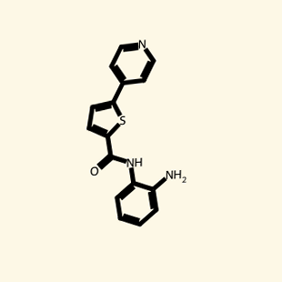 Nc1ccccc1NC(=O)c1ccc(-c2ccncc2)s1